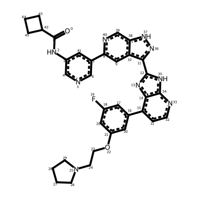 O=C(Nc1cncc(-c2cc3c(-c4nc5c(-c6cc(F)cc(OCCN7CCCC7)c6)ccnc5[nH]4)n[nH]c3cn2)c1)C1CCC1